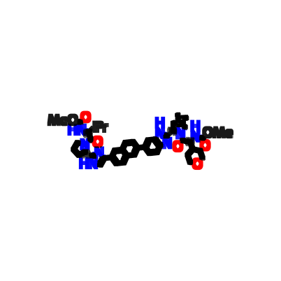 COC(=O)N[C@H](C(=O)N1CCC[C@H]1c1nc(-c2ccc3cc(-c4ccc5nc([C@@H]6C[Si](C)(C)CN6C(=O)[C@@H](NC(=O)OC)C6CCOCC6)[nH]c5c4)ccc3c2)c[nH]1)C(C)C